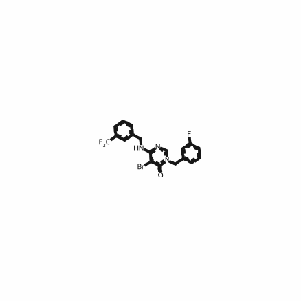 O=c1c(Br)c(NCc2cccc(C(F)(F)F)c2)ncn1Cc1cccc(F)c1